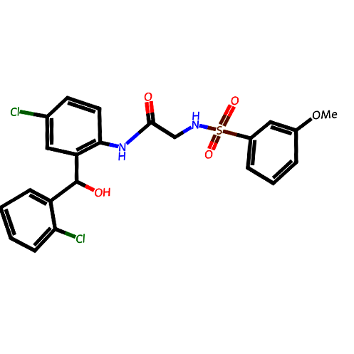 COc1cccc(S(=O)(=O)NCC(=O)Nc2ccc(Cl)cc2C(O)c2ccccc2Cl)c1